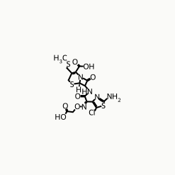 CSCC1=C(C(=O)O)N2C(=O)C(NC(=O)/C(=N\OCC(=O)O)c3nc(N)sc3Cl)[C@@H]2SC1